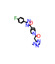 Cn1ncnc1CC(=O)N1CC2CC1CC2c1nc(-c2ccc(F)cc2)no1